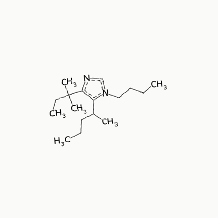 CCCCn1cnc(C(C)(C)CC)c1C(C)CCC